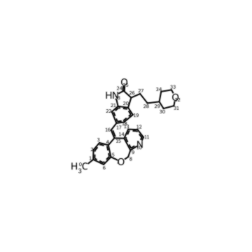 Cc1ccc2c(c1)OCc1ncccc1/C2=C\c1ccc2c(c1)NC(=O)C2CCC1CCOCC1